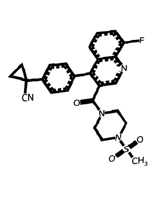 CS(=O)(=O)N1CCN(C(=O)c2cnc3c(F)cccc3c2-c2ccc(C3(C#N)CC3)cc2)CC1